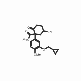 COC(=O)C1(c2ccc(OC)c(OCC3CC3)c2)CC(C#N)CCC1=O